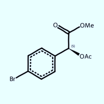 COC(=O)[C@@H](OC(C)=O)c1ccc(Br)cc1